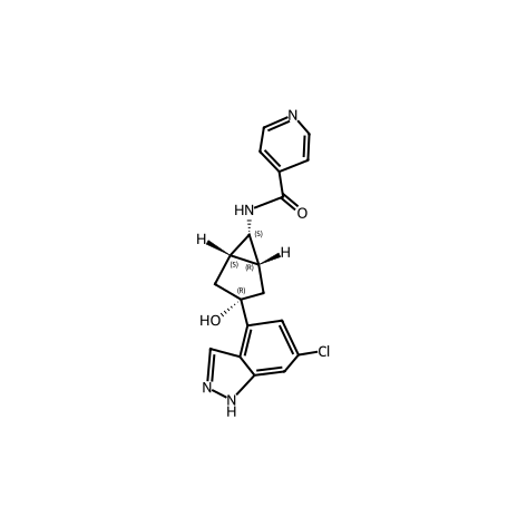 O=C(N[C@@H]1[C@@H]2C[C@@](O)(c3cc(Cl)cc4[nH]ncc34)C[C@@H]21)c1ccncc1